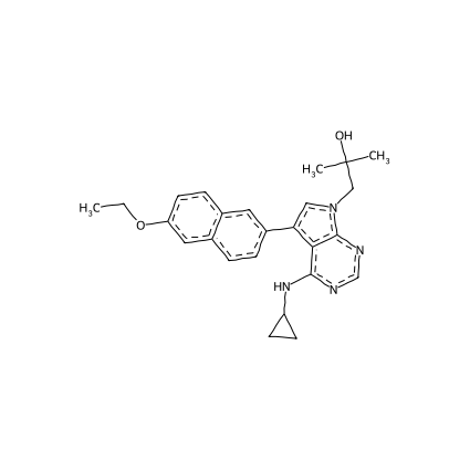 CCOc1ccc2cc(-c3cn(CC(C)(C)O)c4ncnc(NC5CC5)c34)ccc2c1